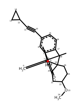 C=C1NC(=O)C2(N1)c1cc(C#CC3CC3)ccc1CC21CCC(OC)CC1